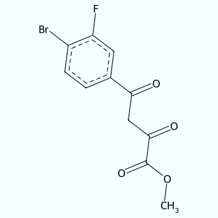 COC(=O)C(=O)CC(=O)c1ccc(Br)c(F)c1